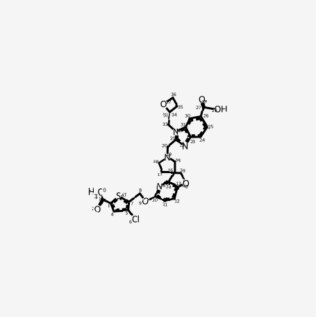 CC(=O)c1cc(Cl)c(COc2ccc3c(n2)C2(CCN(Cc4nc5ccc(C(=O)O)cc5n4C[C@@H]4CCO4)C2)CO3)s1